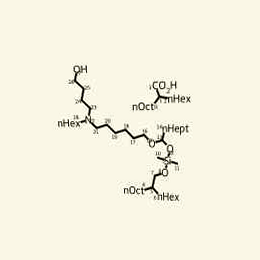 CCCCCCCCC(CCCCCC)C(=O)O.CCCCCCCCC(CCCCCC)CO[Si](C)(C)OC(CCCCCCC)OCCCCCCN(CCCCO)CCCCCC